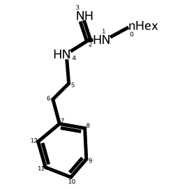 CCCCCCNC(=N)NCCc1ccccc1